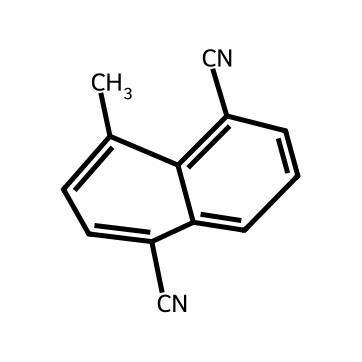 Cc1ccc(C#N)c2cccc(C#N)c12